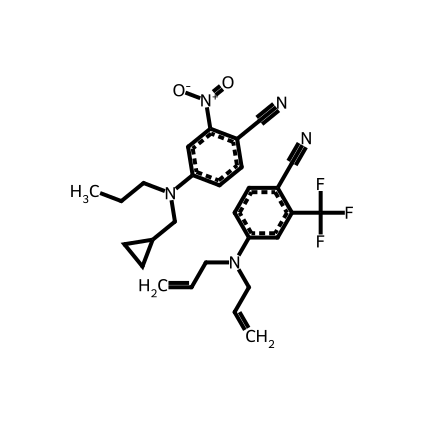 C=CCN(CC=C)c1ccc(C#N)c(C(F)(F)F)c1.CCCN(CC1CC1)c1ccc(C#N)c([N+](=O)[O-])c1